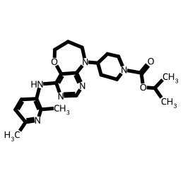 Cc1ccc(Nc2ncnc3c2OCCCN3C2CCN(C(=O)OC(C)C)CC2)c(C)n1